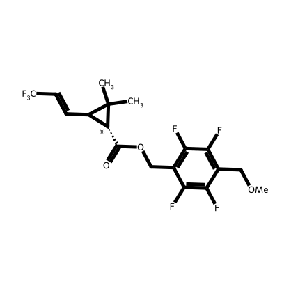 COCc1c(F)c(F)c(COC(=O)[C@@H]2C(C=CC(F)(F)F)C2(C)C)c(F)c1F